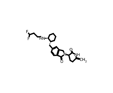 C=C1CCC(N2Cc3cc(C[C@H]4CCCC[C@@H]4NCCCC(F)F)ccc3C2=O)C(=O)N1